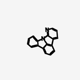 c1ccc2c(c1)c1cccc3c4cccnc4n2c13